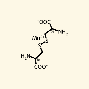 N[C@@H](CSSC[C@H](N)C(=O)[O-])C(=O)[O-].[Mn+2]